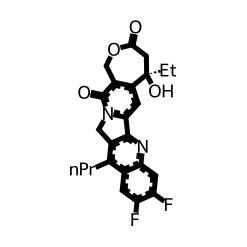 CCCc1c2c(nc3cc(F)c(F)cc13)-c1cc3c(c(=O)n1C2)COC(=O)C[C@]3(O)CC